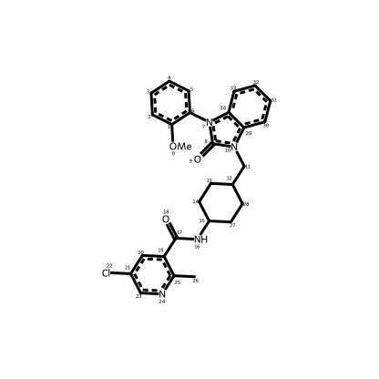 COc1ccccc1-n1c(=O)n(CC2CCC(NC(=O)c3cc(Cl)cnc3C)CC2)c2ccccc21